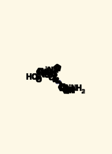 C[C@H](NC(=O)C(CC(=O)C(C)(C)/C=C/c1ccc2ccc(N(C)N)nc2c1)C1CCCC1)C(=O)N1CCC[C@@H](C(=O)O)N1